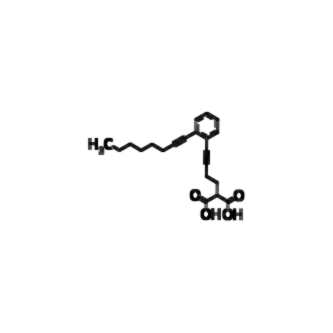 CCCCCCC#Cc1ccccc1C#CCCC(C(=O)O)C(=O)O